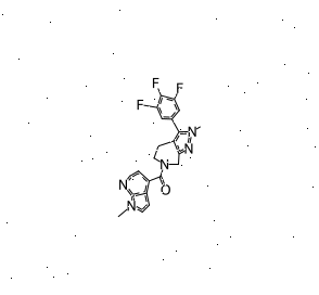 Cn1nc2c(c1-c1cc(F)c(F)c(F)c1)CCN(C(=O)c1ccnc3c1ccn3C)C2